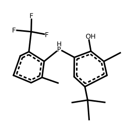 Cc1cc(C(C)(C)C)cc(Pc2c(C)cccc2C(F)(F)F)c1O